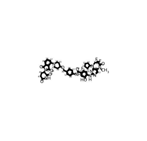 CN1C(=O)C(F)(F)CN(C2CCCC2)c2nc(Nc3cc(F)c(C(=O)Nc4ccc(COC5CCN(c6cccc7c6C(=O)N(C6CCC(=O)NC6=O)C7=O)CC5)cc4)cc3O)ncc21